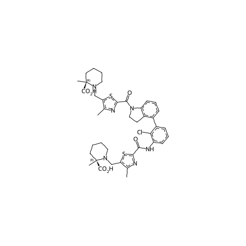 Cc1nc(C(=O)Nc2cccc(-c3cccc4c3CCN4C(=O)c3nc(C)c(CN4CCCC[C@]4(C)C(=O)O)s3)c2Cl)sc1CN1CCCC[C@]1(C)C(=O)O